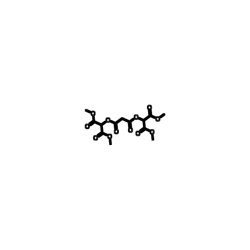 COC(=O)C(OC(=O)CC(=O)OC(C(=O)OC)C(=O)OC)C(=O)OC